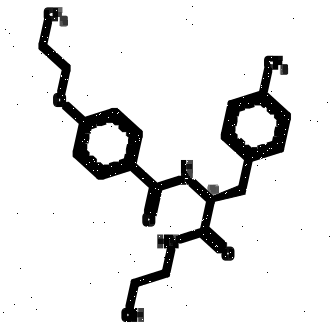 O=C(N[C@@H](Cc1ccc(C(F)(F)F)cc1)C(=O)NCCO)c1ccc(OCCC(F)(F)F)cc1